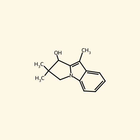 Cc1c2n(c3ccccc13)CC(C)(C)C2O